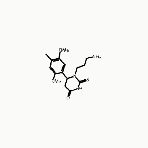 COc1cc(C2CC(=O)NC(=S)N2CCCN)c(OC)cc1C